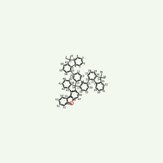 CC1(C)c2ccccc2-c2c(-c3cccc(C4(c5cccc(-c6cccc7c6-c6ccccc6C7(C)C)c5)c5ccccc5-c5c4ccc4oc6ccccc6c54)c3)cccc21